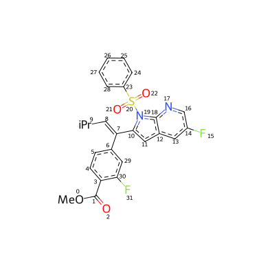 COC(=O)c1ccc(C(=CC(C)C)c2cc3cc(F)cnc3n2S(=O)(=O)c2ccccc2)cc1F